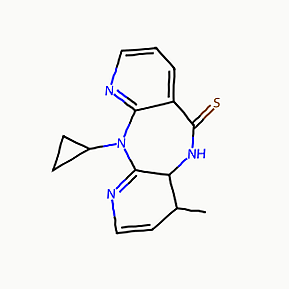 CC1C=CN=C2C1NC(=S)c1cccnc1N2C1CC1